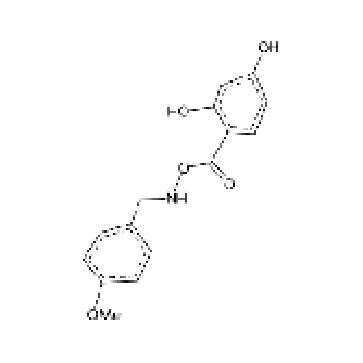 COc1ccc(CNOC(=O)c2ccc(O)cc2O)cc1